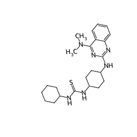 CN(C)c1nc(NC2CCC(NC(=S)NC3CCCCC3)CC2)nc2ccccc12